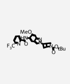 COc1cc2nn(C3CC4C3CN4C(=O)OC(C)(C)C)cc2cc1NC(=O)c1cccc(C(F)(F)F)n1